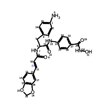 Nc1ccc(CC(NC(=O)/C=C/c2ccc3c(c2)OCO3)C(=O)Nc2ccc(C(=O)NO)cc2)cc1